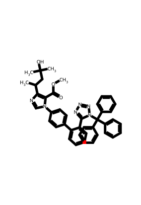 COC(=O)c1c(C(C)CC(C)(C)O)ncn1-c1ccc(-c2ccccc2-c2nnnn2C(c2ccccc2)(c2ccccc2)c2ccccc2)cc1